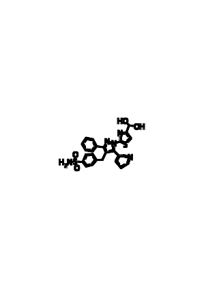 NS(=O)(=O)c1ccc(Cc2c(-c3ccccc3)nn(-c3nc(C(O)O)cs3)c2-c2cccnc2)cc1